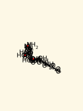 COC(=O)CCCC(=O)SCCNC(=O)CCNC(=O)[C@H](O)C(C)(C)COP(=O)(O)OP(=O)(O)OC[C@H]1O[C@@H](n2cnc3c(N)ncnc32)[C@H](O)[C@@H]1OP(=O)(O)O